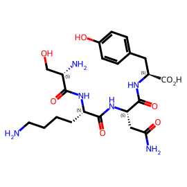 NCCCC[C@H](NC(=O)[C@@H](N)CO)C(=O)N[C@@H](CC(N)=O)C(=O)N[C@@H](Cc1ccc(O)cc1)C(=O)O